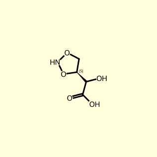 O=C(O)C(O)[C@@H]1CONO1